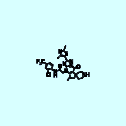 Cc1nc(C)c(-c2nc3n(CC(=O)Nc4ccc(C(F)(F)F)cc4Cl)c4c(c(=O)n3n2)C2(CCNCC2)CC4C)s1